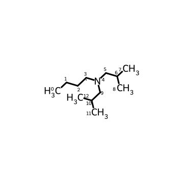 CCC[CH]N(CC(C)C)CC(C)C